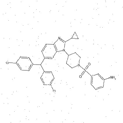 Nc1cccc(S(=O)(=O)N2CCC(n3c(C4CC4)nc4ccc(C(c5ccc(Cl)cc5)c5ccc(Cl)cc5)cc43)CC2)c1